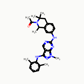 CC(=O)N1C(C)c2cc(Nc3ncc4c(Nc5c(C)cccc5C)nn(C)c4n3)ccc2CC1(C)C